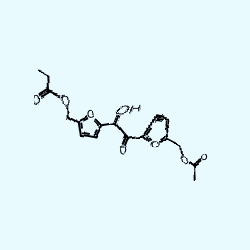 CCC(=O)OCc1ccc(C(O)C(=O)c2ccc(COC(C)=O)o2)o1